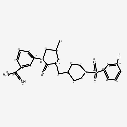 CC1CN(CC2CCN(S(=O)(=O)c3cccc(Cl)c3)CC2)C(=O)N(c2cccc(C(=N)N)c2)C1